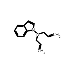 C=CCN(CC=C)n1ccc2ccccc21